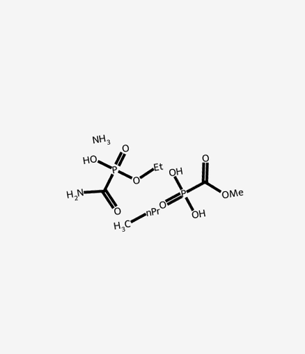 CCCC.CCOP(=O)(O)C(N)=O.COC(=O)P(=O)(O)O.N